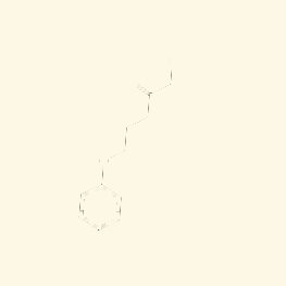 O=C(O)CC(=O)CCCOc1ccccc1